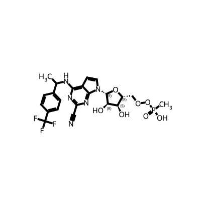 CC(Nc1nc(C#N)nc2c1ccn2[C@@H]1O[C@H](COOP(C)(=O)O)[C@@H](O)[C@H]1O)c1ccc(C(F)(F)F)cc1